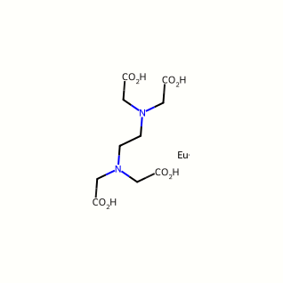 O=C(O)CN(CCN(CC(=O)O)CC(=O)O)CC(=O)O.[Eu]